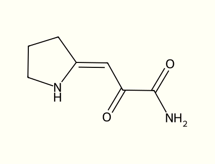 NC(=O)C(=O)C=C1CCCN1